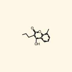 CCCc1c(O)c2cccc(C)c2oc1=O